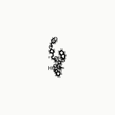 C[C@H](Cc1ccc(OCCN2CCOCC2)cc1)C[C@H](O)CN1C[C@@H](Oc2ccc3ccccc3c2)CC1C(=O)N([C@H]1c2ccccc2C[C@H]1O)C(C)(C)C